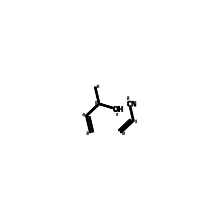 C=CC#N.C=CC(C)O